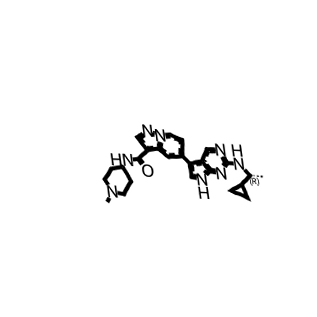 C[C@@H](Nc1ncc2c(-c3ccn4ncc(C(=O)NC5CCN(C)CC5)c4c3)c[nH]c2n1)C1CC1